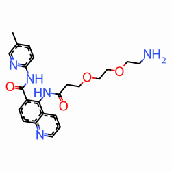 Cc1ccc(NC(=O)c2ccc3ncccc3c2NC(=O)CCOCCOCCN)nc1